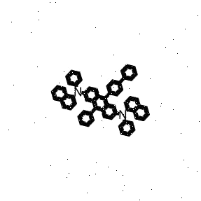 c1ccc(-c2ccc(-c3c4ccc(N(c5ccccc5)c5cccc6ccccc56)cc4c(-c4ccccc4)c4ccc(N(c5ccccc5)c5cccc6ccccc56)cc34)cc2)cc1